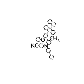 Cc1ccc(N(c2ccc(C#N)cc2)c2ccc(-c3ccccc3)cc2)cc1-c1cc(-c2c3ccccc3c(-c3cccc4ccccc34)c3ccccc23)ccc1Oc1ccccc1